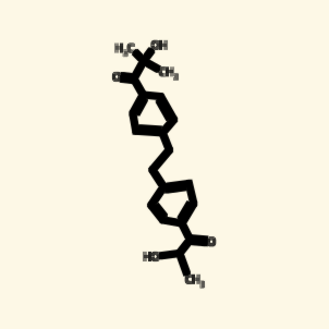 CC(O)C(=O)c1ccc(CCc2ccc(C(=O)C(C)(C)O)cc2)cc1